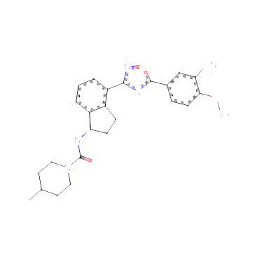 CC1CCN(C(=O)N[C@@H]2CCc3c(-c4noc(-c5ccc(OC(C)C)c(C#N)c5)n4)cccc32)CC1